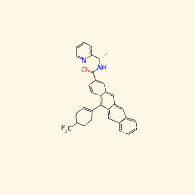 C[C@H](NC(=O)c1ccc2c(C3=CCC(C(F)(F)F)CC3)c3cc4ccccc4cc3cc2c1)c1ccccn1